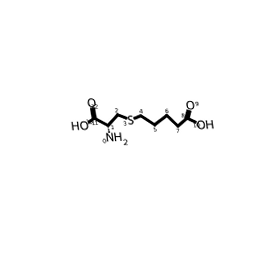 N[C@@H](CSCCCCC(=O)O)C(=O)O